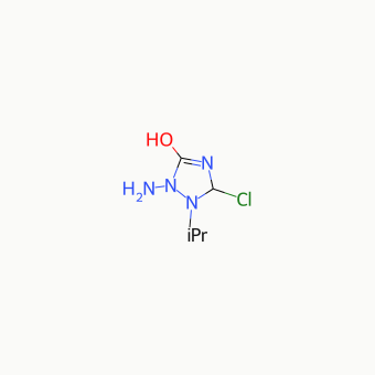 CC(C)N1C(Cl)N=C(O)N1N